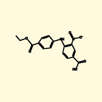 CCOC(=O)c1ccc(Nc2ccc(C(=O)O)cc2[N+](=O)[O-])cc1